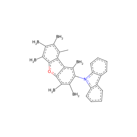 Bc1c(-n2c3ccccc3c3ccccc32)c(B)c2c(oc3c(B)c(B)c(B)c(C)c32)c1B